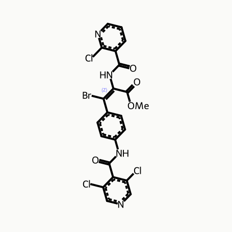 COC(=O)/C(NC(=O)c1cccnc1Cl)=C(/Br)c1ccc(NC(=O)c2c(Cl)cncc2Cl)cc1